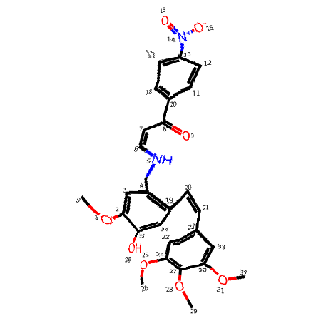 COc1cc(N/C=C\C(=O)c2ccc([N+](=O)[O-])cc2)c(/C=C\c2cc(OC)c(OC)c(OC)c2)cc1O